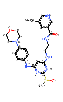 COc1cncc(C(=O)NCCNc2cc(Nc3ccc(N4CCOCC4)cc3)nc([S+](C)[O-])n2)c1